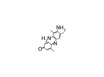 CC1=CC(=O)C=CC1=Nc1cc(C)c(N)c(C)c1N